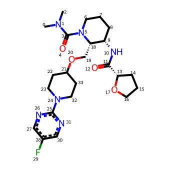 CN(C)C(=O)N1CCC[C@H](NC(=O)[C@@H]2CCCO2)[C@@H]1COC1CCN(c2ncc(F)cn2)CC1